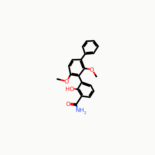 COc1ccc(-c2ccccc2)c(OC)c1-c1cccc(C(N)=O)c1O